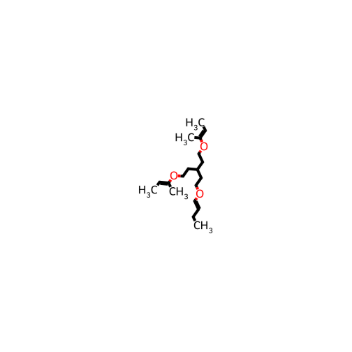 C/C=C(\C)OCCC(CCO/C=C/CC)CCO/C(C)=C/C